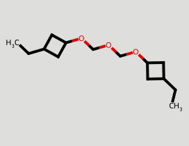 CCC1CC(OCOCOC2CC(CC)C2)C1